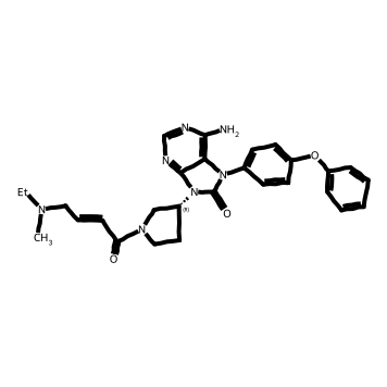 CCN(C)CC=CC(=O)N1CC[C@@H](n2c(=O)n(-c3ccc(Oc4ccccc4)cc3)c3c(N)ncnc32)C1